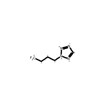 FC(F)(F)CCCn1ncnn1